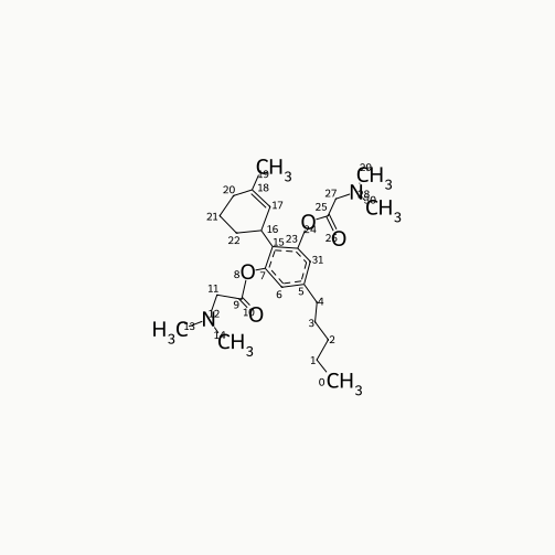 CCCCCc1cc(OC(=O)CN(C)C)c(C2C=C(C)CCC2)c(OC(=O)CN(C)C)c1